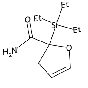 CC[Si](CC)(CC)C1(C(N)=O)CC=CO1